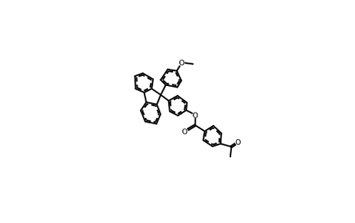 COc1ccc(C2(c3ccc(OC(=O)c4ccc(C(C)=O)cc4)cc3)c3ccccc3-c3ccccc32)cc1